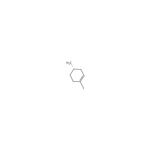 C[C@@H]1CC=C(I)CC1